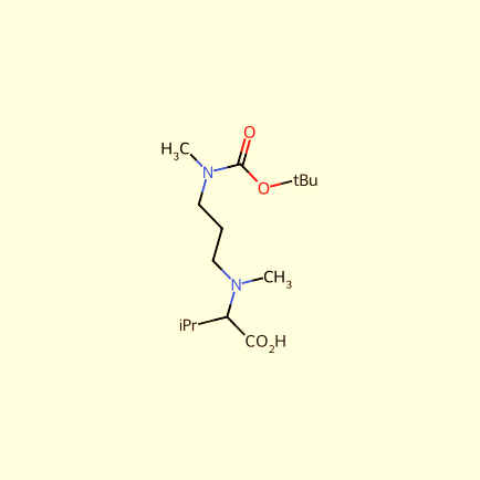 CC(C)C(C(=O)O)N(C)CCCN(C)C(=O)OC(C)(C)C